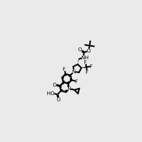 CC(C)(C)OC(=O)NC[C@H]1CN(c2c(F)cc3c(=O)c(C(=O)O)cn(C4CC4)c3c2F)C[C@@H]1C(F)(F)F